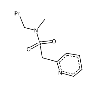 CC(C)CN(C)S(=O)(=O)Cc1ccccn1